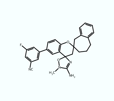 [C-]#[N+]c1cc(F)cc(-c2ccc3c(c2)C2(CC4(CCCc5ccccc5C4)O3)N=C(N)N(C)O2)c1